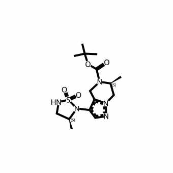 C[C@H]1Cn2ncc(N3[C@@H](C)CNS3(=O)=O)c2CN1C(=O)OC(C)(C)C